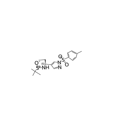 CC[C@H](N[S@+]([O-])C(C)(C)C)c1cnn(S(=O)(=O)c2ccc(C)cc2)c1